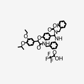 CCOc1cc(C(Oc2ccc(C(=N)N(Cc3ccccc3)C(=O)O)cc2)C(=O)NCc2ccccc2)ccc1OC(C)C.O=C(O)C(F)(F)F